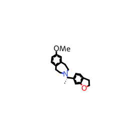 COc1ccc2c(c1)CCN([C@@H](C)c1ccc3c(c1)OCC3)CC2